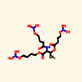 CC(OC(=O)CCCON(O)O)C(NC(=O)CCCON(O)O)C(=O)OCCCCON(O)O